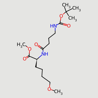 COCCCC[C@H](NC(=O)CCCNC(=O)OC(C)(C)C)C(=O)OC